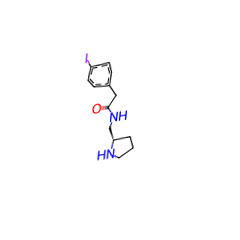 O=C(Cc1ccc(I)cc1)NC[C@H]1CCCN1